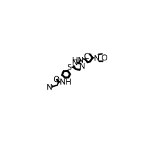 N#CCC(=O)Nc1ccc(Sc2ccnc(Nc3ccc(N4CCOCC4)cc3)n2)cc1